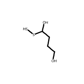 OCCCC(O)SS